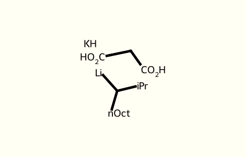 O=C(O)CC(=O)O.[KH].[Li][CH](CCCCCCCC)C(C)C